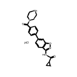 Cl.O=C(Nc1noc2cc(-c3ccc(C(=O)N4CCNCC4)cc3)ccc12)C1CC1